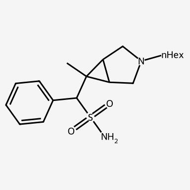 CCCCCCN1CC2C(C1)C2(C)C(c1ccccc1)S(N)(=O)=O